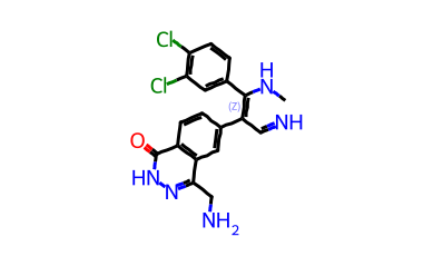 CN/C(=C(\C=N)c1ccc2c(=O)[nH]nc(CN)c2c1)c1ccc(Cl)c(Cl)c1